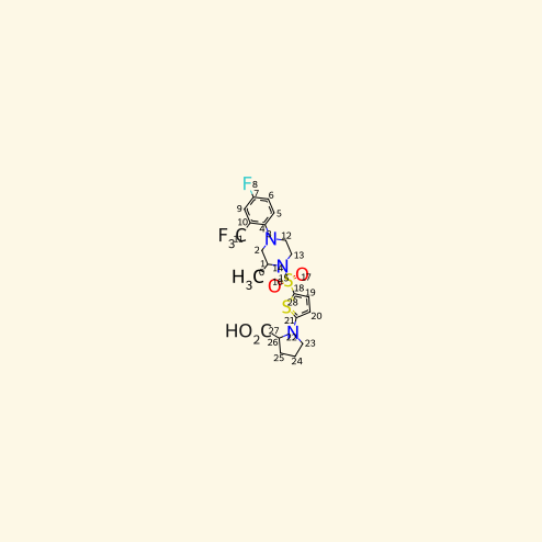 CC1CN(c2ccc(F)cc2C(F)(F)F)CCN1S(=O)(=O)c1ccc(N2CCCC2C(=O)O)s1